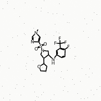 Cn1cnc(S(=O)(=O)N2CC(Nc3ccc(F)c(C(F)(F)F)c3)C(C3CCCO3)C2)c1